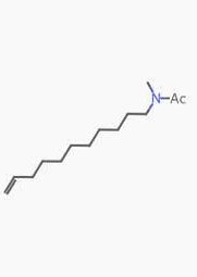 C=CCCCCCCCCCN(C)C(C)=O